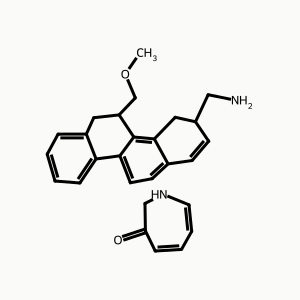 COCC1Cc2ccccc2-c2ccc3c(c21)CC(CN)C=C3.O=C1C=CC=CNC1